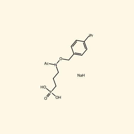 CC(=O)N(CCCP(=O)(O)O)OCc1ccc(C(C)C)cc1.[NaH]